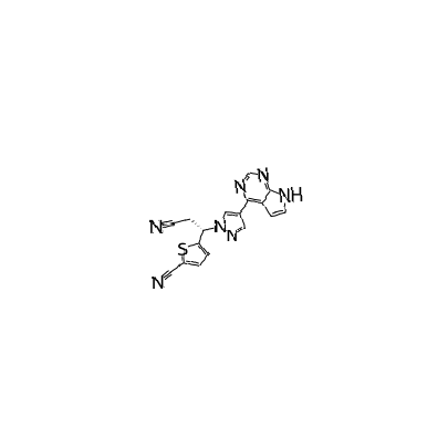 N#CC[C@@H](c1ccc(C#N)s1)n1cc(-c2ncnc3[nH]ccc23)cn1